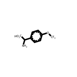 NC(C(=O)O)c1ccc(OC(F)(F)F)cc1